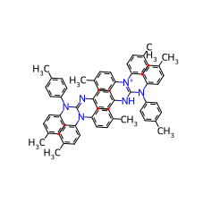 Cc1ccc(N(C(=Nc2ccc(NC(N(c3ccc(C)cc3)c3ccc(C)cc3)=[N+](c3ccc(C)cc3)c3ccc(C)cc3)cc2)N(c2ccc(C)cc2)c2ccc(C)cc2)c2ccc(C)cc2)cc1